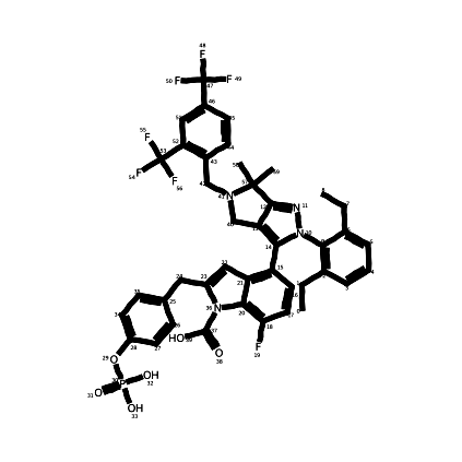 CCc1cccc(CC)c1-n1nc2c(c1-c1ccc(F)c3c1cc(Cc1ccc(OP(=O)(O)O)cc1)n3C(=O)O)CN(Cc1ccc(C(F)(F)F)cc1C(F)(F)F)C2(C)C